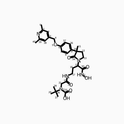 Cc1cc(COc2ccc(C3(C)CCN(C(CCNC(=O)CN(C(=O)O)C(C)(C)C)C(=O)NO)C3=O)cc2)cc(C)n1